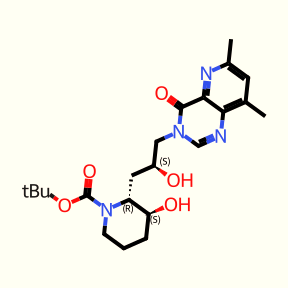 Cc1cc(C)c2ncn(C[C@@H](O)C[C@@H]3[C@@H](O)CCCN3C(=O)OC(C)(C)C)c(=O)c2n1